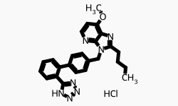 CCCCc1nc2c(OC)ccnc2n1Cc1ccc(-c2ccccc2-c2nnn[nH]2)cc1.Cl